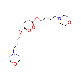 O=C(/C=C\C(=O)OCCCCN1CCOCC1)OCCCCN1CCOCC1